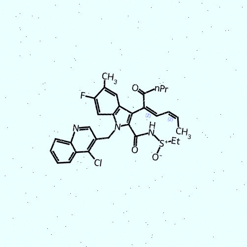 C/C=C\C=C(/C(=O)CCC)c1c(C(=O)N[S+]([O-])CC)n(Cc2cnc3ccccc3c2Cl)c2cc(F)c(C)cc12